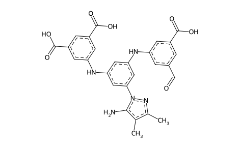 Cc1nn(-c2cc(Nc3cc(C=O)cc(C(=O)O)c3)cc(Nc3cc(C(=O)O)cc(C(=O)O)c3)c2)c(N)c1C